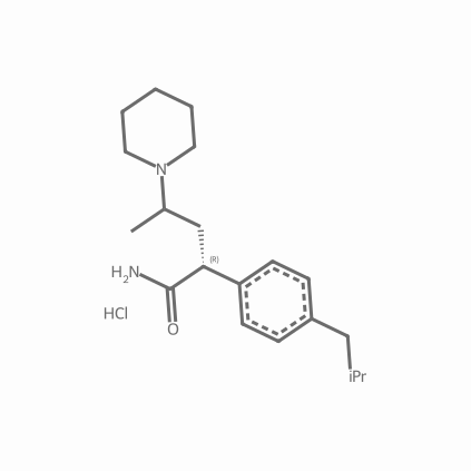 CC(C)Cc1ccc([C@@H](CC(C)N2CCCCC2)C(N)=O)cc1.Cl